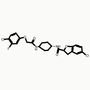 O=C(COc1ccc(Cl)c(F)c1)N[C@H]1CC[C@@H](NC(=O)C2Cc3cc(Cl)ccc3O2)CC1